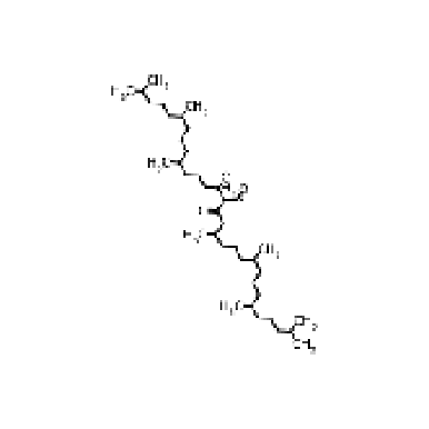 CC(C)CCCC(C)CCCC(C)CCCC(C)CC(=O)C([C]=O)C(C)CCCC(C)CCCC(C)CCCC(C)C